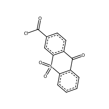 O=C(Cl)c1ccc2c(c1)S(=O)(=O)c1ccccc1C2=O